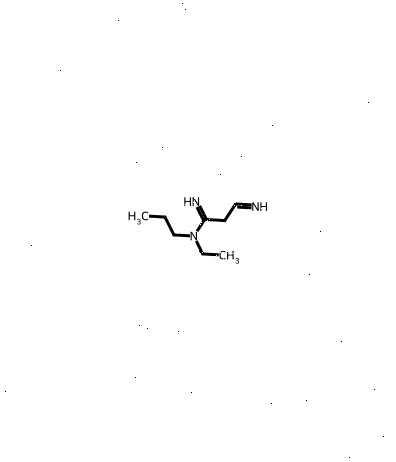 CCCN(CC)C(=N)CC=N